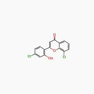 O=c1cc(-c2ccc(Cl)cc2O)oc2c(Cl)cccc12